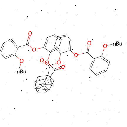 CCCCOc1ccccc1C(=O)Oc1ccccc1OC(=O)[C]12[CH]3[CH]4[CH]5[CH]1[Fe]45321678[CH]2[CH]1[CH]6[C]7(C(=O)Oc1ccccc1OC(=O)c1ccccc1OCCCC)[CH]28